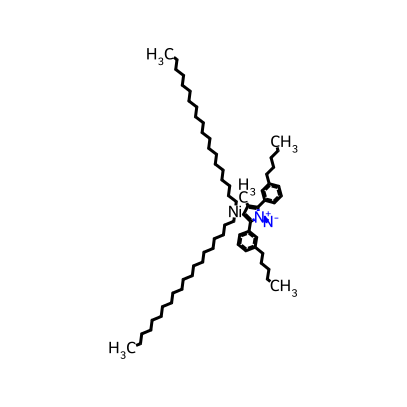 CCCCCCCCCCCCCCCCCCC[CH2][Ni][CH2]CCCCCCCCCCCCCCCCCCC.CCCCCc1cccc(C2=CC(C)=C(c3cccc(CCCCC)c3)[N+]2=[N-])c1